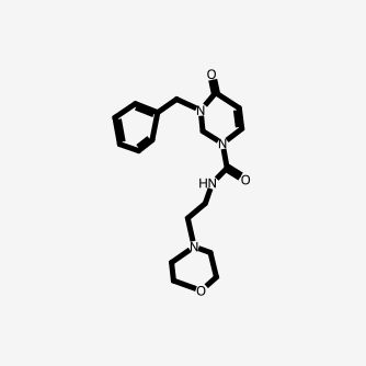 O=C(NCCN1CCOCC1)N1C=CC(=O)N(Cc2ccccc2)C1